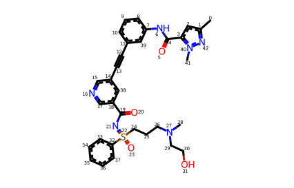 Cc1cc(C(=O)Nc2cccc(C#Cc3cncc(C(=O)N=S(=O)(CCCN(C)CCO)c4ccccc4)c3)c2)n(C)n1